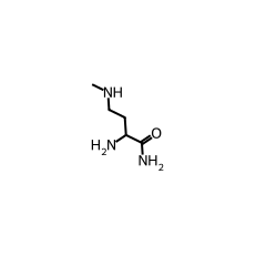 CNCCC(N)C(N)=O